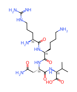 CC(C)[C@H](NC(=O)[C@H](CC(N)=O)NC(=O)[C@H](CCCCN)NC(=O)[C@@H](N)CCCNC(=N)N)C(=O)O